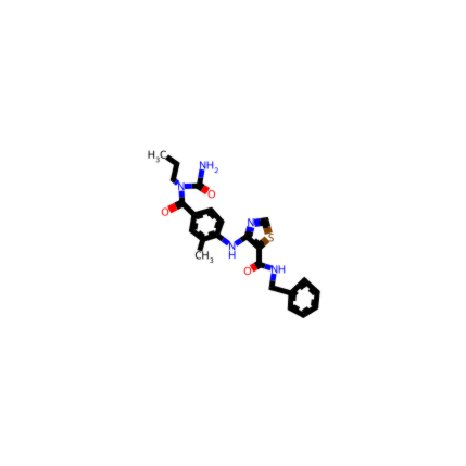 CCCN(C(N)=O)C(=O)c1ccc(Nc2ncsc2C(=O)NCc2ccccc2)c(C)c1